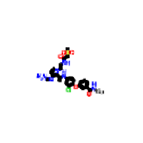 C=C(Nc1ccc(Oc2cccc(C(=O)NC(C)(C)C)c2)c(Cl)c1)c1c(/N=C\N)ccn1CCNC(=O)CS(C)(=O)=O